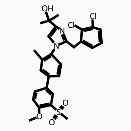 COc1ccc(-c2ccc(-n3cc(C(C)(C)O)nc3Cc3cccc(Cl)c3Cl)c(C)c2)cc1S(C)(=O)=O